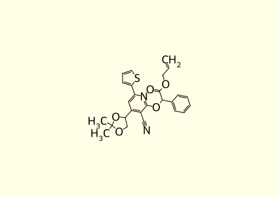 C=CCOC(=O)C(Oc1nc(-c2cccs2)cc(C2COC(C)(C)O2)c1C#N)c1ccccc1